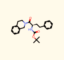 CC(C)(C)OC(=O)N[C@H](CCc1ccccc1)C(=O)N1CCc2ccccc2C1